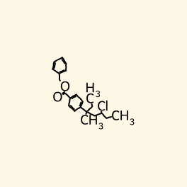 CCC(Cl)CC(C)(CC)c1ccc(C(=O)OCc2ccccc2)cc1